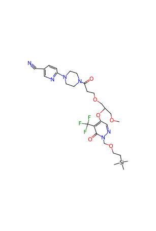 COCC(COCCC(=O)N1CCN(c2ccc(C#N)cn2)CC1)Oc1cnn(COCC[Si](C)(C)C)c(=O)c1C(F)(F)F